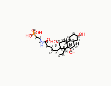 C[C@H](CCC(=O)NCCP(=O)(O)O)[C@H]1CC[C@H]2[C@@H]3[C@H](O)C[C@@H]4C[C@H](O)CC[C@]4(C)[C@H]3C[C@H](O)[C@]12C